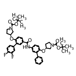 CC(C)(C)OC(=O)N1CC[C@H](Oc2ccc(NC(=O)c3ccc(O[C@H]4CCN(C(=O)OC(C)(C)C)C4)c(-c4ccc(F)c(F)c4)c3)cc2-c2ccccc2)C1